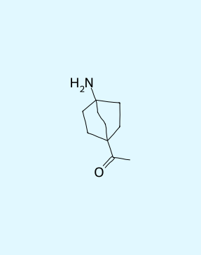 CC(=O)C12CCC(N)(CC1)CC2